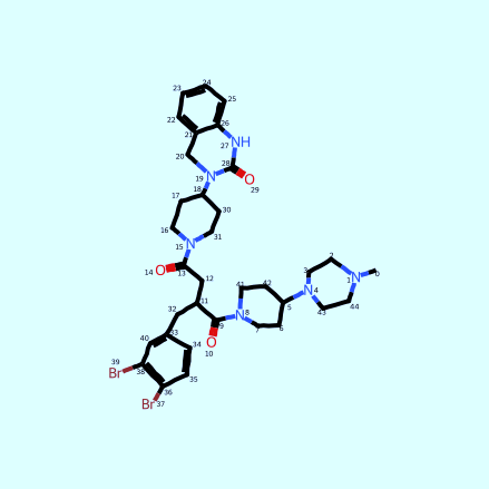 CN1CCN(C2CCN(C(=O)C(CC(=O)N3CCC(N4Cc5ccccc5NC4=O)CC3)Cc3ccc(Br)c(Br)c3)CC2)CC1